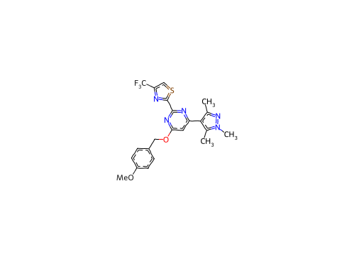 COc1ccc(COc2cc(-c3c(C)nn(C)c3C)nc(-c3nc(C(F)(F)F)cs3)n2)cc1